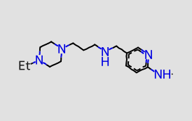 CCN1CCN(CCCNCc2ccc([NH])nc2)CC1